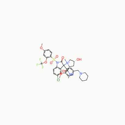 CNC(=O)[C@@H]1C[C@@H](O)C[N+]1(C)C1(c2cc(CN3CCCCC3)ccc2OC)C(=O)N(S(=O)(=O)c2ccc(OC)cc2OC(F)(F)F)c2ccc(Cl)cc21